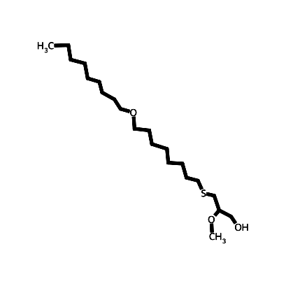 CCCCCCCCCOCCCCCCCCSCC(CO)OC